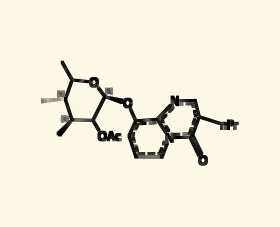 CCCc1cnc2c(O[C@@H]3OC(C)[C@@H](C)[C@H](C)C3OC(C)=O)cccn2c1=O